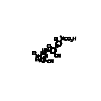 CCNc1nc(Nc2cc(C#N)cc(N3CC[C@@H](N(C)C(=O)O)C(=O)C3)c2Cl)nn2c(C#N)cnc12